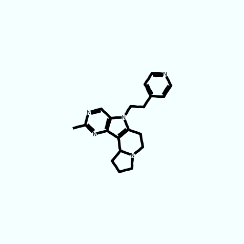 Cc1ncc2c(n1)c1c(n2CCc2ccncc2)CCN2CCCC12